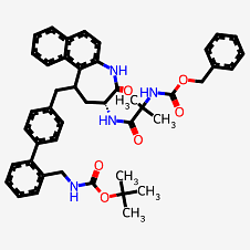 CC(C)(C)OC(=O)NCc1ccccc1-c1ccc(CC2C[C@@H](NC(=O)C(C)(C)NC(=O)OCc3ccccc3)C(=O)Nc3ccc4ccccc4c32)cc1